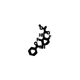 COC(C)C(=O)Nc1c(F)ccc(NC(=O)c2ccccc2)c1F